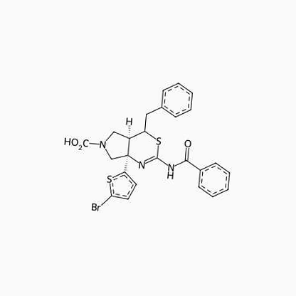 O=C(NC1=N[C@@]2(c3ccc(Br)s3)CN(C(=O)O)C[C@H]2C(Cc2ccccc2)S1)c1ccccc1